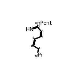 CCCCCC(=N)/C=C\C=C/CC(C)C